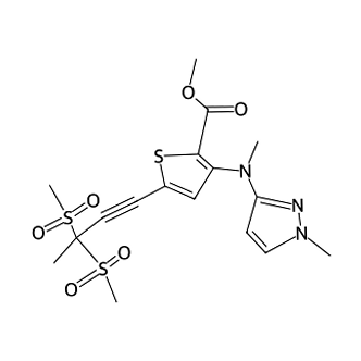 COC(=O)c1sc(C#CC(C)(S(C)(=O)=O)S(C)(=O)=O)cc1N(C)c1ccn(C)n1